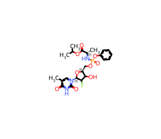 Cc1cn([C@H]2O[C@@H](COP(=O)(N[C@@H](C)C(=O)OC(C)C)Oc3ccccc3)C(O)C2F)c(=O)[nH]c1=O